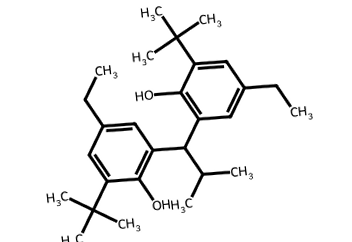 CCc1cc(C(c2cc(CC)cc(C(C)(C)C)c2O)C(C)C)c(O)c(C(C)(C)C)c1